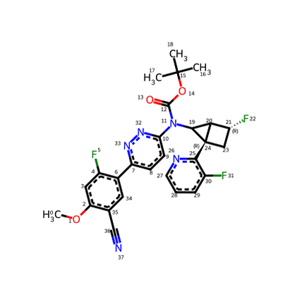 COc1cc(F)c(-c2ccc(N(C(=O)OC(C)(C)C)C3C4[C@H](F)C[C@@]43c3ncccc3F)nn2)cc1C#N